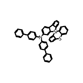 c1ccc(-c2ccc(N(c3ccc(-c4ccccc4)cc3)c3ccc4c(c3)[Si]3(c5ccccc5Sc5ccccc53)c3ccccc3-4)cc2)cc1